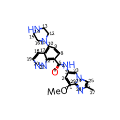 COc1cc(NC(=O)c2ccc(N3CCNCC3)c3ccnnc23)cn2cc(C)nc12